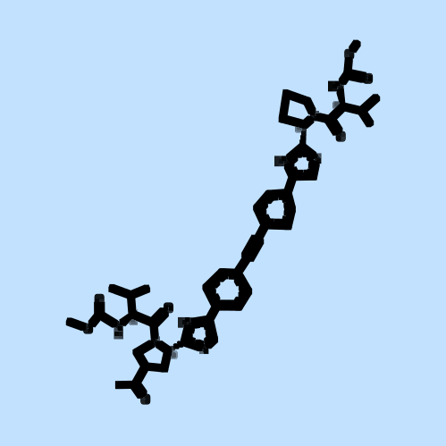 COC(=O)N[C@H](C(=O)N1CCC[C@H]1c1ncc(-c2ccc(C#Cc3ccc(-c4cnc([C@@H]5CC(C(C)=O)CN5C(=O)[C@@H](NC(=O)OC)C(C)C)[nH]4)cc3)cc2)[nH]1)C(C)C